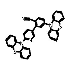 N#Cc1ccc(N2c3ccccc3Sc3ccccc32)cc1-c1ccc(N2c3ccccc3Sc3ccccc32)nc1